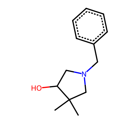 CC1(C)CN(Cc2ccccc2)CC1O